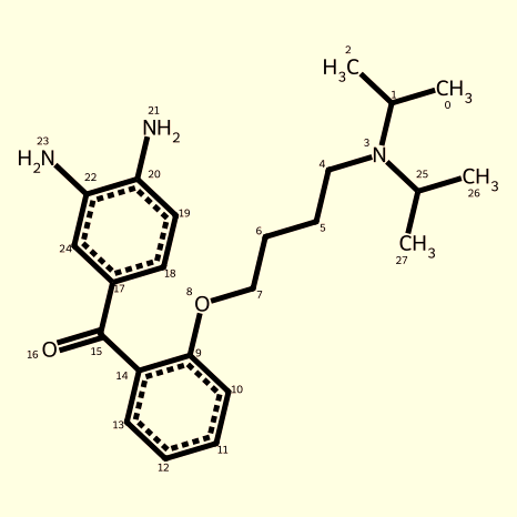 CC(C)N(CCCCOc1ccccc1C(=O)c1ccc(N)c(N)c1)C(C)C